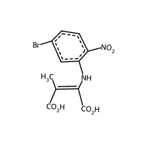 CC(C(=O)O)=C(Nc1cc(Br)ccc1[N+](=O)[O-])C(=O)O